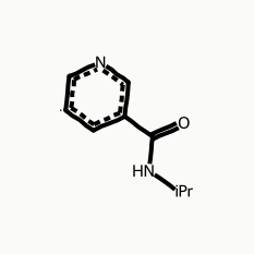 CC(C)NC(=O)c1c[c]cnc1